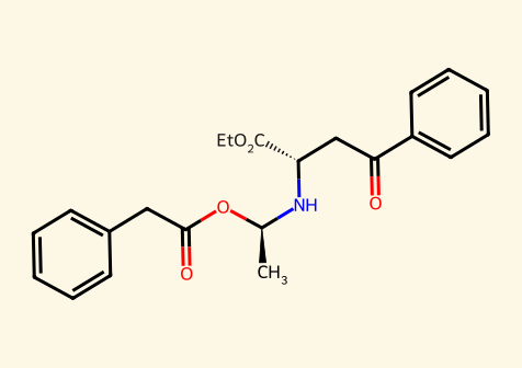 CCOC(=O)[C@H](CC(=O)c1ccccc1)N[C@@H](C)OC(=O)Cc1ccccc1